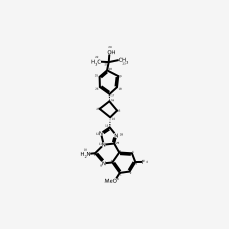 COc1cc(F)cc2c1nc(N)n1nc([C@H]3C[C@@H](c4ccc(C(C)(C)O)cc4)C3)nc21